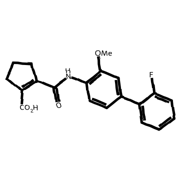 COc1cc(-c2ccccc2F)ccc1NC(=O)C1=C(C(=O)O)CCC1